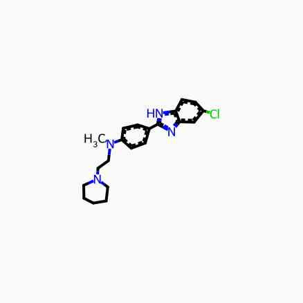 CN(CCN1CCCCC1)c1ccc(-c2nc3cc(Cl)ccc3[nH]2)cc1